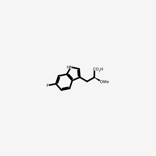 CO[C@@H](Cc1c[nH]c2cc(F)ccc12)C(=O)O